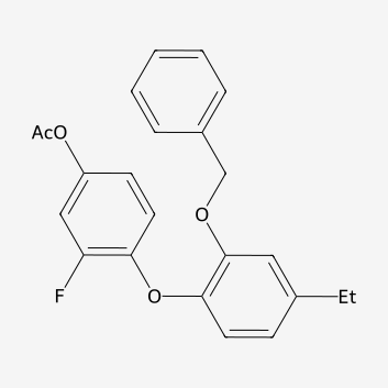 CCc1ccc(Oc2ccc(OC(C)=O)cc2F)c(OCc2ccccc2)c1